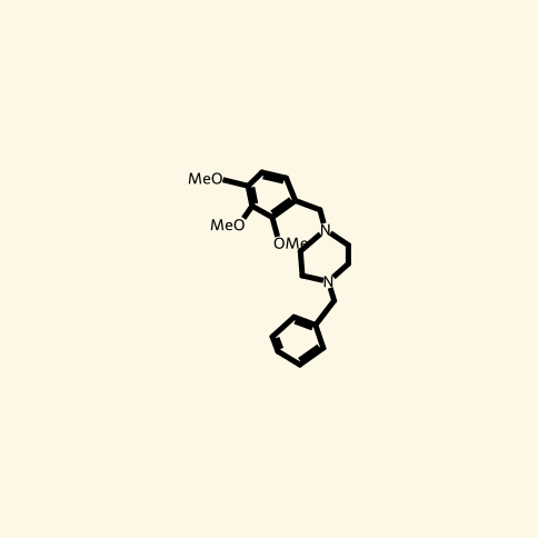 COc1ccc(CN2CCN(Cc3ccccc3)CC2)c(OC)c1OC